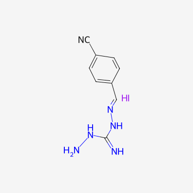 I.N#Cc1ccc(C=NNC(=N)NN)cc1